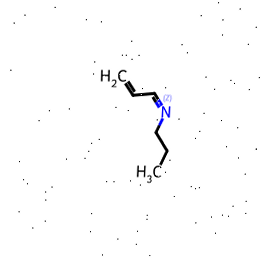 C=C/C=N\CCC